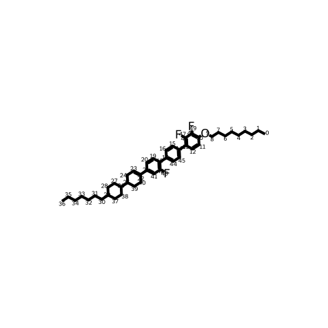 CCCCCCCCCOc1ccc(-c2ccc(-c3ccc(C4=CCC(C5CCC(CCCCCCC)CC5)CC4)cc3F)cc2)c(F)c1F